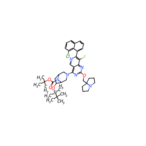 CC(C)(C)OC(=O)N1C2CC(O[Si](C)(C)C(C)(C)C)C1CN(c1nc(OCC34CCCN3CCC4)nc3c(F)c(-c4cccc5cccc(Cl)c45)ncc13)C2